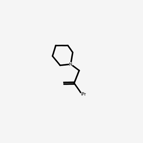 C=C(CN1CCCCC1)C(C)C